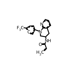 C=CC(=O)NC1Cc2cccnc2N(c2ccc(C(F)(F)F)cc2)C1